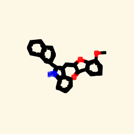 COc1cccc2c1OC(=Cc1c(-c3ccc4ccccc4c3)[nH]c3ccccc13)C2=O